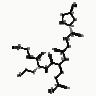 CC(C)CC[C@@H](NC(=O)[C@H](CCC(N)=O)NC(=O)CNC(=O)[C@H]1C[C@H](O)CN1)C(=O)NCC(=O)O